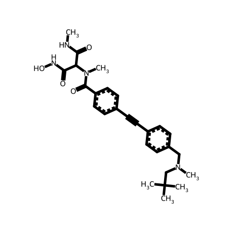 CNC(=O)C(C(=O)NO)N(C)C(=O)c1ccc(C#Cc2ccc(CN(C)CC(C)(C)C)cc2)cc1